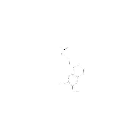 CCCC(=O)NCCC1CCCc2cc(OC)c(OC)cc21